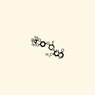 [2H]C1([2H])Oc2ccc(O[C@H]3CCN(c4nn5c(=O)ccnc5cc4C)C[C@@H]3F)cc2OC1([2H])[2H]